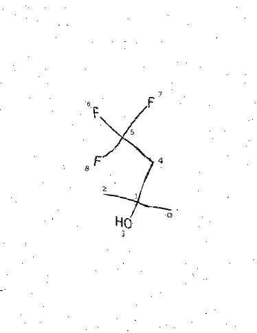 [CH2]C(C)(O)CC(F)(F)F